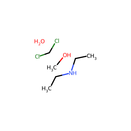 CCNCC.CO.ClCCl.O